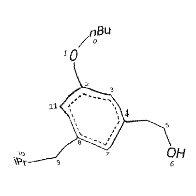 CCCCOc1cc(CO)cc(CC(C)C)c1